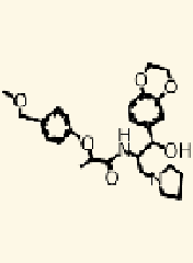 COCc1ccc(OC(C)C(=O)NC(CN2CCCC2)C(O)c2ccc3c(c2)OCCO3)cc1